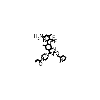 C=CC(=O)N1CCN(c2nc(OCC3CCCN3C)nc3c2CC(C)C(c2nc(N)cc(C)c2C(F)(F)F)C3)CC1